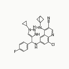 N#Cc1cnc2c(Cl)cc(NC(C3=CN(C4CC4)NN3)c3ccc(F)cc3)cc2c1NC12CC(C1)C2